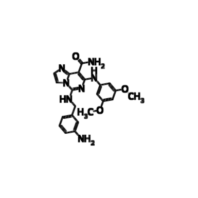 COc1cc(Nc2nc(NCc3cccc(N)c3)n3ccnc3c2C(N)=O)cc(OC)c1